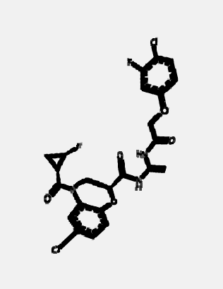 C=C(NC(=O)COc1ccc(Cl)c(F)c1)NC(=O)[C@@H]1CN(C(=O)[C@H]2C[C@H]2F)c2cc(Cl)ccc2O1